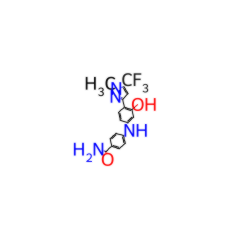 Cn1nc(-c2ccc(Nc3ccc(C(N)=O)cc3)cc2O)cc1C(F)(F)F